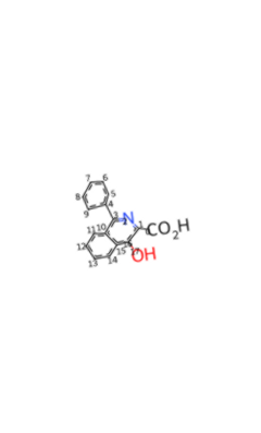 O=C(O)c1nc(-c2ccccc2)c2ccccc2c1O